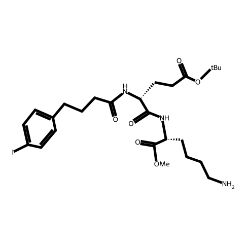 COC(=O)[C@@H](CCCCN)NC(=O)[C@@H](CCC(=O)OC(C)(C)C)NC(=O)CCCc1ccc(I)cc1